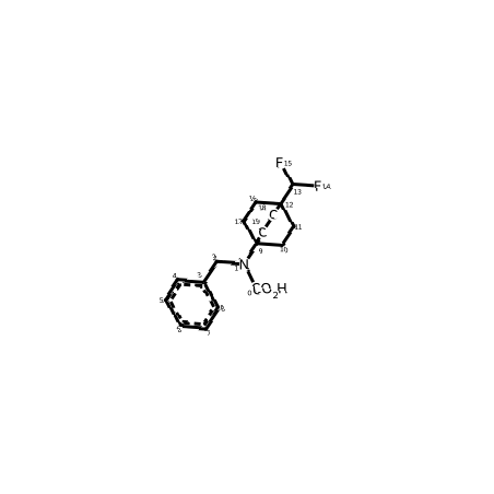 O=C(O)N(Cc1ccccc1)C12CCC(C(F)F)(CC1)CC2